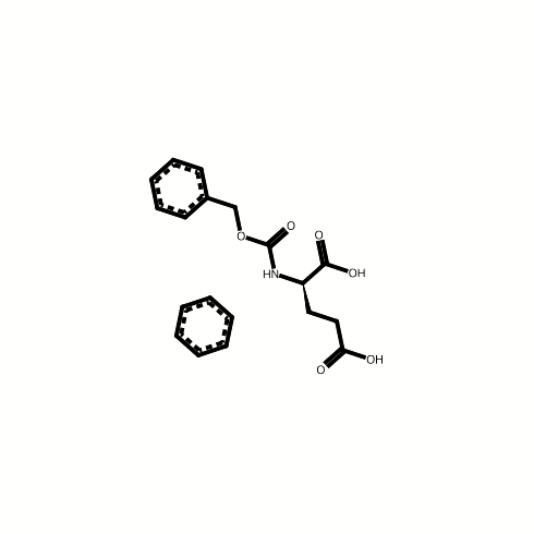 O=C(O)CC[C@@H](NC(=O)OCc1ccccc1)C(=O)O.c1ccccc1